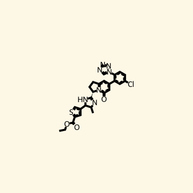 CCOC(=O)c1cc(C2NC([C@@H]3CCc4cc(-c5cc(Cl)ccc5-n5cnnn5)cc(=O)n43)=NC2C)cs1